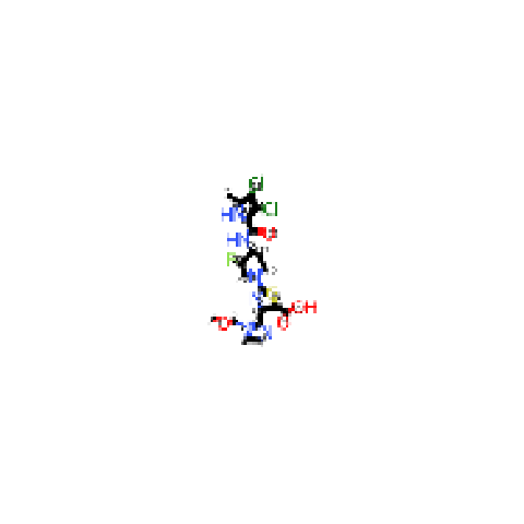 COCn1ccnc1-c1nc(N2CC[C@@H](NC(=O)c3[nH]c(C)c(Cl)c3Cl)[C@@H](F)C2)sc1C(=O)O